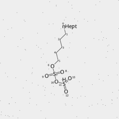 CCCCCCCCCCCCOS(=O)(=O)O[SH](=O)=O